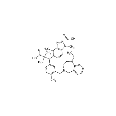 CCN1CCN(Cc2cc(C(c3ccc4c(nnn4C)c3C)C(C)(C)C(=O)O)ccc2C)Cc2ccccc21.O=CO